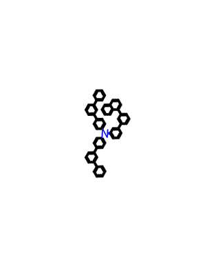 c1ccc(-c2cccc(-c3ccc(N(c4ccc(-c5cccc(-c6ccccc6)c5)cc4)c4cccc(-c5cccc(-c6cccc7ccccc67)c5)c4)cc3)c2)cc1